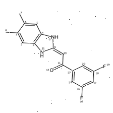 Cc1cc2c(cc1C)NC(=CC(=O)c1cc(F)cc(F)c1)N2